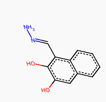 NN=Cc1c(O)c(O)cc2ccccc12